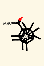 COC(=O)[C]12[C]3(C)[C]4(C)[C]5(C)[C]1(C)[Fe]45321678[CH]2[C]1(C)[C]6(C)[C]7(C)[C]28C